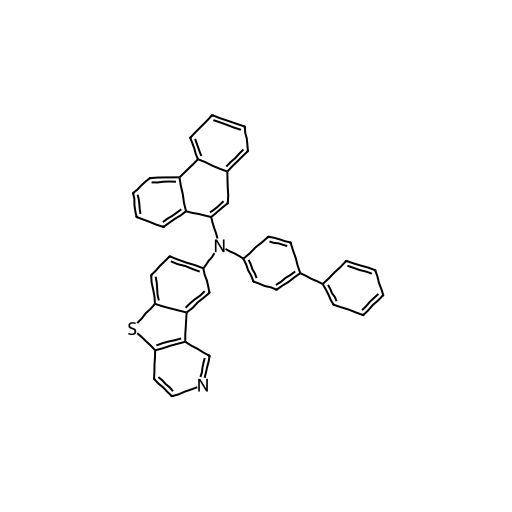 c1ccc(-c2ccc(N(c3ccc4sc5ccncc5c4c3)c3cc4ccccc4c4ccccc34)cc2)cc1